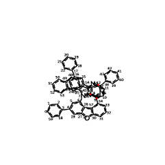 c1ccc(-c2cc(-n3c4ccccc4c4cc(-c5ccccc5)ccc43)c3c(c2)oc2cccc(-c4nc(-c5ccccc5)nc(-c5ccc6ccccc6c5)n4)c23)cc1